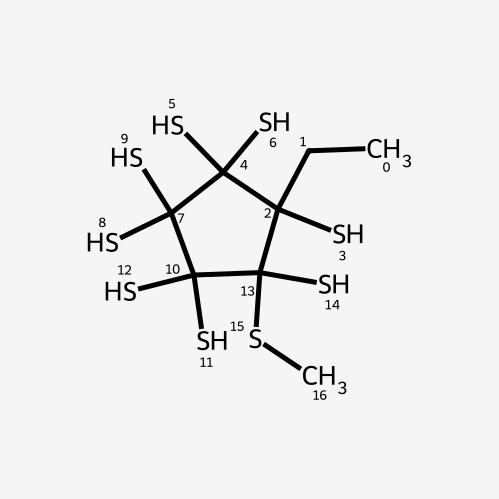 CCC1(S)C(S)(S)C(S)(S)C(S)(S)C1(S)SC